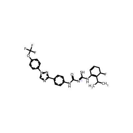 CC(C)C1=C(N/C(S)=N/C(=O)Nc2ccc(-c3ncn(-c4ccc(OC(F)(F)F)cc4)n3)cc2)C=CCC1F